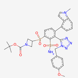 COc1ccc(Cn2nnnc2-c2c(-c3cccc4c3ccn4C)ccc(S(=O)(=O)C3CN(C(=O)OC(C)(C)C)C3)c2S(N)(=O)=O)cc1